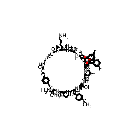 COc1ccc(C[C@@H]2NC(=O)[C@H]([C@@H](C)O)NC(=O)[C@@H]3C[C@H](F)CN3C(=O)[C@H](Cc3c[nH]c4ccc(F)cc34)NC(=O)[C@H](Cc3c[nH]c4ccc(F)cc34)NC(=O)[C@@H](C)NC(=O)[C@H](CCCCN)NC(=O)CCCCNC(=O)COc3ccc(cc3)C[C@@H](C(N)=O)NC(=O)[C@]3(C)CCCN3C2=O)cc1